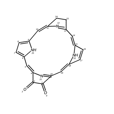 O=C1C(=O)c2cc3ccc(cc4nc(cc5ccc(cc1n2)[nH]5)CC4)[nH]3